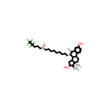 C=C1[C@H](O)CC2C3C(CC[C@]12C)c1ccc(O)cc1[C@H](F)[C@H]3CCCCCCCCC[S+]([O-])CCCC(F)(F)C(F)(F)F